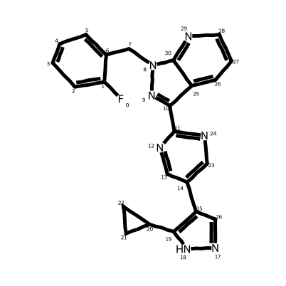 Fc1ccccc1Cn1nc(-c2ncc(-c3cn[nH]c3C3CC3)cn2)c2cccnc21